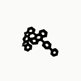 c1ccc(-c2ccc(-c3c4ccccc4c(-c4cccc5sc6cc7sc8ccccc8c7cc6c45)c4ccccc34)cc2)cc1